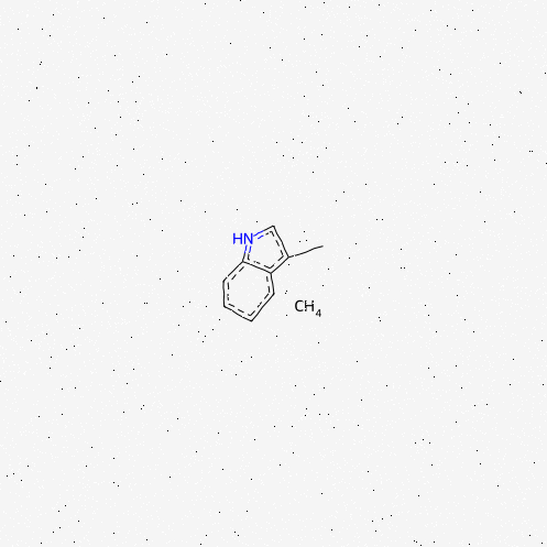 C.Cc1c[nH]c2ccccc12